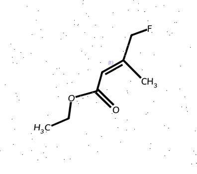 CCOC(=O)/C=C(\C)CF